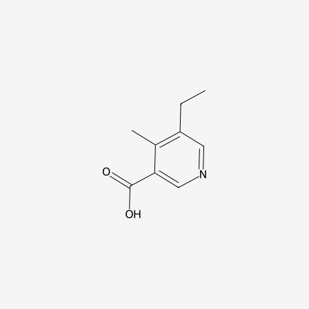 CCc1cncc(C(=O)O)c1C